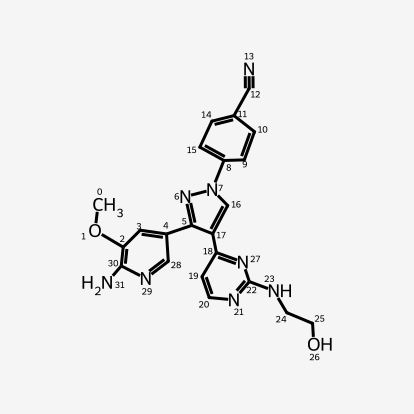 COc1cc(-c2nn(-c3ccc(C#N)cc3)cc2-c2ccnc(NCCO)n2)cnc1N